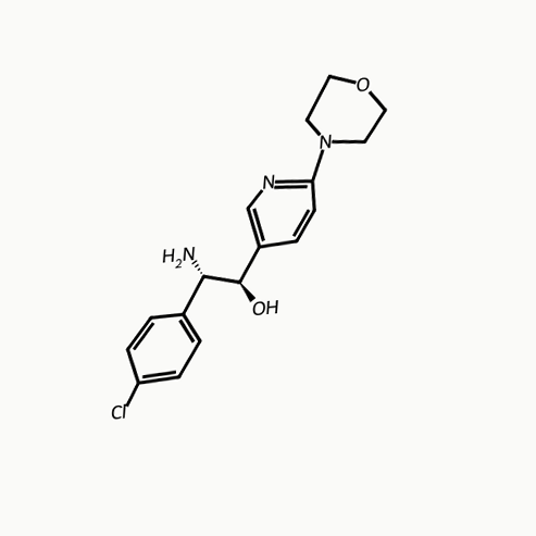 N[C@@H](c1ccc(Cl)cc1)[C@H](O)c1ccc(N2CCOCC2)nc1